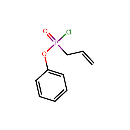 C=CCP(=O)(Cl)Oc1ccccc1